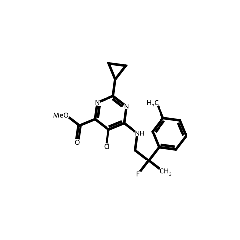 COC(=O)c1nc(C2CC2)nc(NCC(C)(F)c2cccc(C)c2)c1Cl